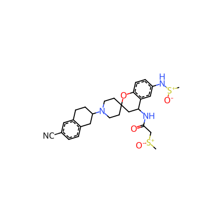 C[S+]([O-])CC(=O)NC1CC2(CCN(C3CCc4cc(C#N)ccc4C3)CC2)Oc2ccc(N[S+](C)[O-])cc21